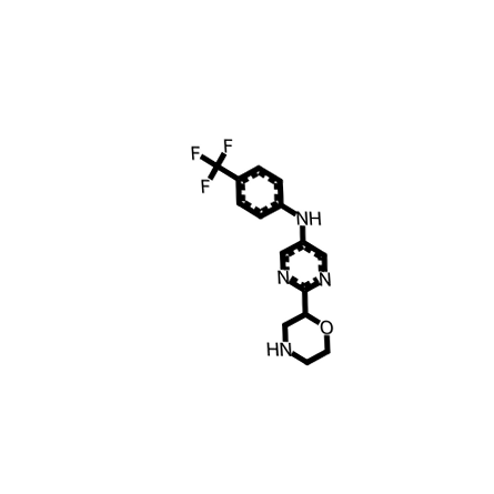 FC(F)(F)c1ccc(Nc2cnc(C3CNCCO3)nc2)cc1